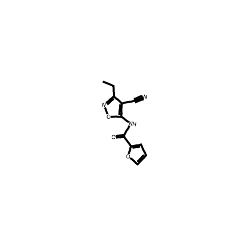 CCc1noc(NC(=O)c2ccco2)c1C#N